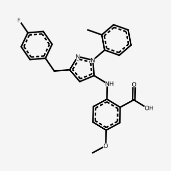 COc1ccc(Nc2cc(Cc3ccc(F)cc3)nn2-c2ccccc2C)c(C(=O)O)c1